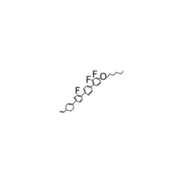 C=CC1CC=C(c2ccc(-c3ccc(-c4ccc(OCCCCCC)c(F)c4F)cc3)c(F)c2)CC1